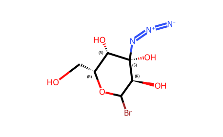 [N-]=[N+]=N[C@@]1(O)[C@@H](O)C(Br)O[C@H](CO)[C@@H]1O